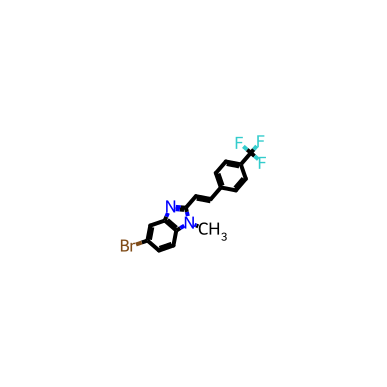 Cn1c(C=Cc2ccc(C(F)(F)F)cc2)nc2cc(Br)ccc21